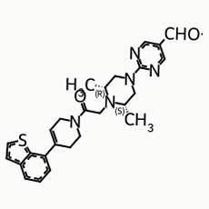 C[C@@H]1CN(c2ncc([C]=O)cn2)C[C@H](C)N1CC(=O)N1CC=C(c2cccc3ccsc23)CC1